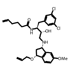 C=CCCCC(=O)N[C@@H](Cc1cc(Cl)cc(Cl)c1)[C@H](O)CN[C@H]1C[C@@H](OCC=C)c2ccc(OC)cc21